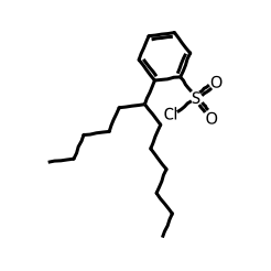 CCCCCCC(CCCCC)c1ccccc1S(=O)(=O)Cl